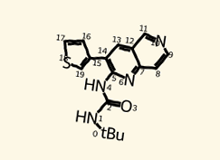 CC(C)(C)NC(=O)Nc1nc2ccncc2cc1-c1ccsc1